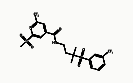 CC(C)(CCNC(=O)c1cc(C(F)(F)F)nc(S(C)(=O)=O)c1)S(=O)(=O)c1cccc(C(F)(F)F)c1